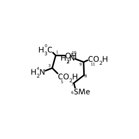 CC(O)C(N)C(=O)O.CSCCC(N)C(=O)O